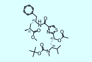 COC(=O)[C@@H](C)C[C@H](Cc1ccccc1)NC(=O)c1csc([C@@H](C[C@H](C(C)C)N(C)C(=O)OC(C)(C)C)OC(C)=O)n1